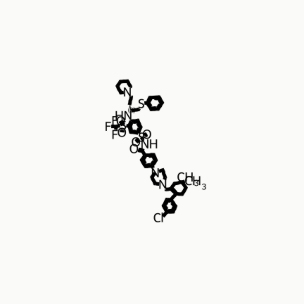 CC1(C)CCC(c2ccc(Cl)cc2)=C(CN2CCN(c3ccc(C(=O)NS(=O)(=O)c4ccc(N[C@H](CCN5CCCCC5)CSc5ccccc5)c(S(=O)(=O)C(F)(F)F)c4)cc3)CC2)C1